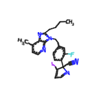 CCCCc1nc2c(C)ccnc2n1Cc1ccc(C2(C#N)N=CC=C2I)c(F)c1